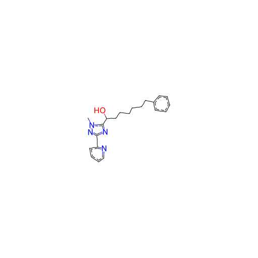 Cn1nc(-c2ccccn2)nc1C(O)CCCCCCc1ccccc1